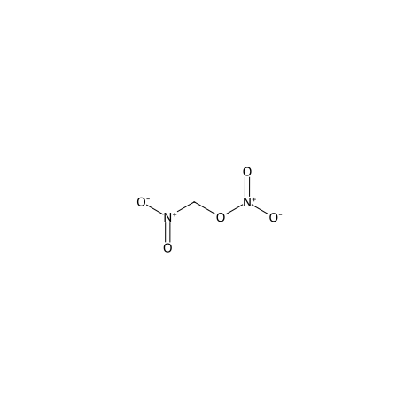 O=[N+]([O-])CO[N+](=O)[O-]